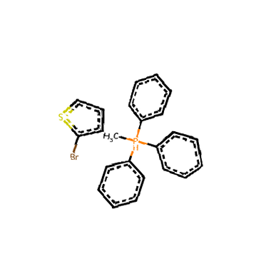 Brc1cccs1.C[PH](c1ccccc1)(c1ccccc1)c1ccccc1